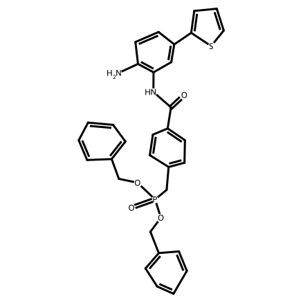 Nc1ccc(-c2cccs2)cc1NC(=O)c1ccc(CP(=O)(OCc2ccccc2)OCc2ccccc2)cc1